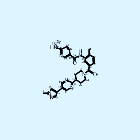 Cc1ccc(C(=O)N2CCC(c3ncc(-c4cnn(C)c4)cn3)CC2)cc1NC(=O)c1ccc(NC(C)C)nc1